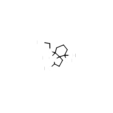 CCOC1(C)CCCC(C)(C)C12CCC(C)O2